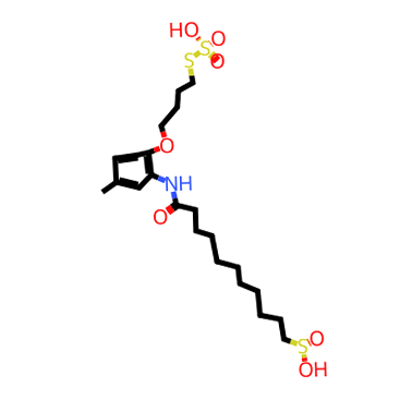 Cc1ccc(OCCCCSS(=O)(=O)O)c(NC(=O)CCCCCCCCCCS(=O)O)c1